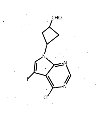 O=CC1CC(n2cc(I)c3c(Cl)ncnc32)C1